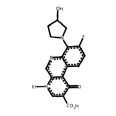 CCn1cc(C(=O)O)c(=O)c2c3ccc(F)c(N4CCC(O)C4)c3ncc21